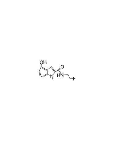 Cn1c(C(=O)NCCF)cc2c(O)cccc21